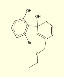 CCOCC1=CC(O)(c2c(O)cccc2Br)CC=C1